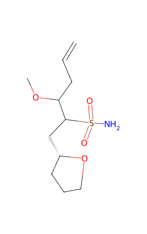 C=CCC(OC)C(C[C@H]1CCCO1)S(N)(=O)=O